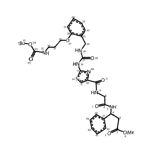 COC(=O)CC(NC(=O)CNC(=O)c1csc(NC(=O)NCc2ccccc2OCCCNC(=O)OC(C)(C)C)n1)c1ccccc1